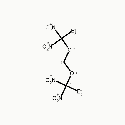 CCC(OCOC(CC)([N+](=O)[O-])[N+](=O)[O-])([N+](=O)[O-])[N+](=O)[O-]